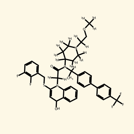 [2H]C([2H])([2H])OCC([2H])([2H])N1C([2H])([2H])C([2H])([2H])C([2H])(N(C(=O)C([2H])([2H])N2C(SCc3cccc(F)c3F)=CC(O)c3ccccc32)C([2H])(C)c2ccc(-c3ccc(C(F)(F)F)cc3)cc2)C([2H])([2H])C1([2H])[2H]